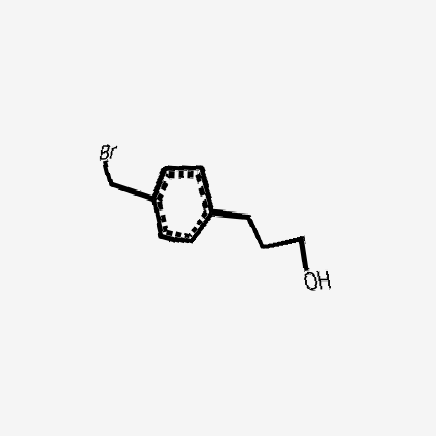 OCCCc1ccc(CBr)cc1